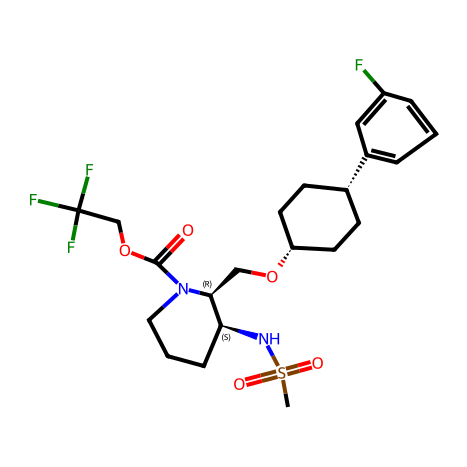 CS(=O)(=O)N[C@H]1CCCN(C(=O)OCC(F)(F)F)[C@H]1CO[C@H]1CC[C@@H](c2cccc(F)c2)CC1